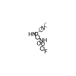 CCC(C)N1CC=C(c2c[nH]c3ccc(NC(=O)Oc4cccc(F)c4)cc23)CC1